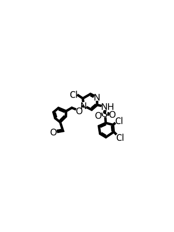 O=Cc1cccc(CON2C=C(NS(=O)(=O)c3cccc(Cl)c3Cl)N=CC2Cl)c1